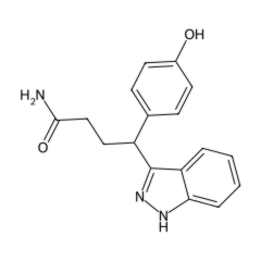 NC(=O)CCC(c1ccc(O)cc1)c1n[nH]c2ccccc12